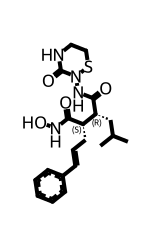 CC(C)C[C@@H](C(=O)NN1SCCNC1=O)[C@H](CC=Cc1ccccc1)C(=O)NO